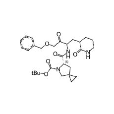 CC(C)(C)OC(=O)N1CC2(CC2)C[C@H]1C(=O)NC(CC1CCCNC1=O)C(=O)COCc1ccccc1